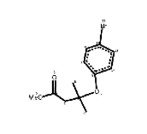 COC(=O)CC(C)(C)Oc1ccc(Br)cc1